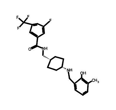 Cc1cccc(CN[C@H]2CC[C@@H](CNC(=O)c3cc(F)cc(C(F)(F)F)c3)CC2)c1O